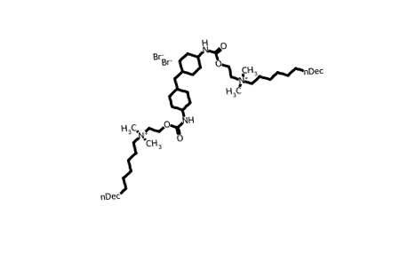 CCCCCCCCCCCCCCCC[N+](C)(C)CCOC(=O)NC1CCC(CC2CCC(NC(=O)OCC[N+](C)(C)CCCCCCCCCCCCCCCC)CC2)CC1.[Br-].[Br-]